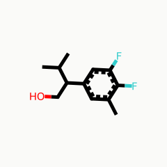 Cc1cc(C(CO)C(C)C)cc(F)c1F